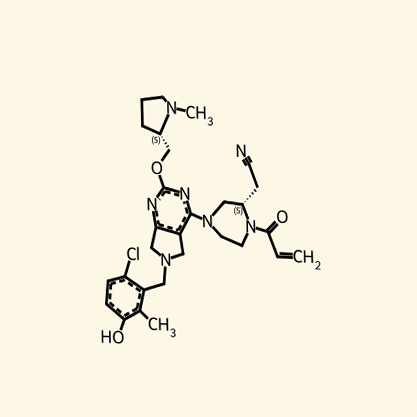 C=CC(=O)N1CCN(c2nc(OC[C@@H]3CCCN3C)nc3c2CN(Cc2c(Cl)ccc(O)c2C)C3)C[C@@H]1CC#N